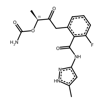 Cc1cc(NC(=O)c2c(F)cccc2CC(=O)[C@H](C)OC(N)=O)n[nH]1